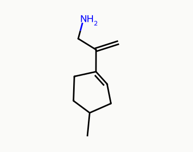 C=C(CN)C1=CCC(C)CC1